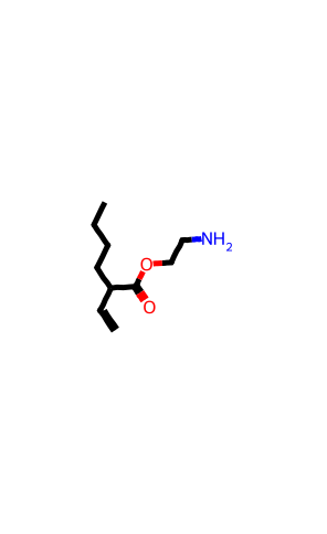 C=CC(CCCC)C(=O)OCCN